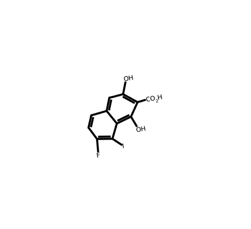 O=C(O)c1c(O)cc2ccc(F)c(I)c2c1O